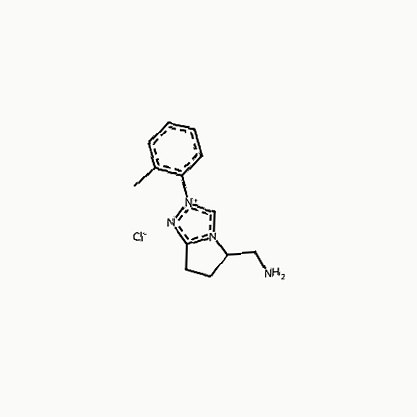 Cc1ccccc1-[n+]1cn2c(n1)CCC2CN.[Cl-]